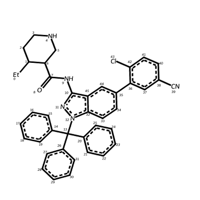 CCC1CCNCC1C(=O)Nc1nn(C(c2ccccc2)(c2ccccc2)c2ccccc2)c2ccc(-c3cc(C#N)ccc3Cl)cc12